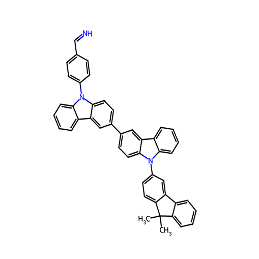 CC1(C)c2ccccc2-c2cc(-n3c4ccccc4c4cc(-c5ccc6c(c5)c5ccccc5n6-c5ccc(C=N)cc5)ccc43)ccc21